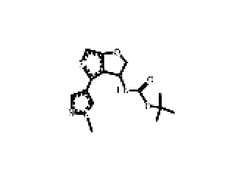 Cn1cc(-c2scc3c2C(NC(=O)OC(C)(C)C)CO3)cn1